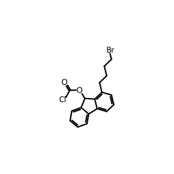 O=C(Cl)OC1c2ccccc2-c2cccc(CCCCBr)c21